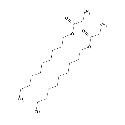 CCCCCCCCCCOC(=O)CC.CCCCCCCCCCOC(=O)CC